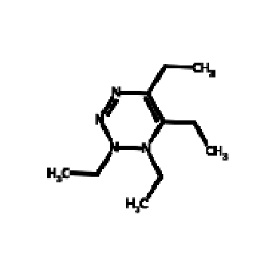 CCC1=C(CC)N(CC)N(CC)N=N1